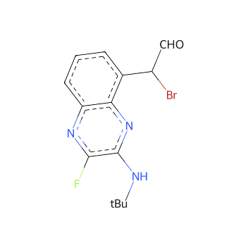 CC(C)(C)Nc1nc2c(C(Br)C=O)cccc2nc1F